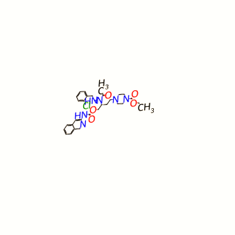 CCOC(=O)N1CCN(CC[C@@H](COC(=O)Nc2cc3ccccc3cn2)N(NCc2ccccc2Cl)C(C)=O)CC1